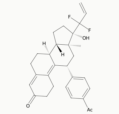 C=CC(F)(F)[C@]1(O)CC[C@H]2[C@@H]3CCC4=CC(=O)CCC4=C3[C@@H](c3ccc(C(C)=O)cc3)C[C@@]21C